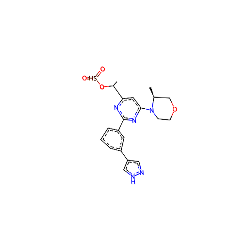 CC(O[SH](=O)=O)c1cc(N2CCOC[C@@H]2C)nc(-c2cccc(-c3cn[nH]c3)c2)n1